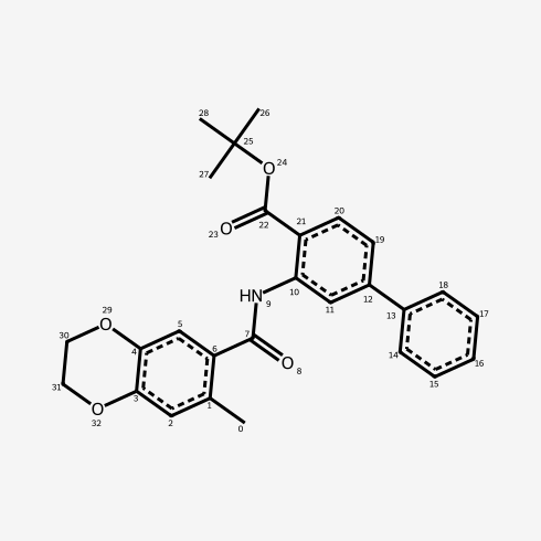 Cc1cc2c(cc1C(=O)Nc1cc(-c3ccccc3)ccc1C(=O)OC(C)(C)C)OCCO2